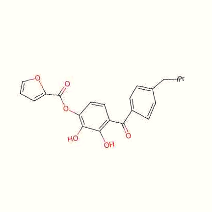 CC(C)Cc1ccc(C(=O)c2ccc(OC(=O)c3ccco3)c(O)c2O)cc1